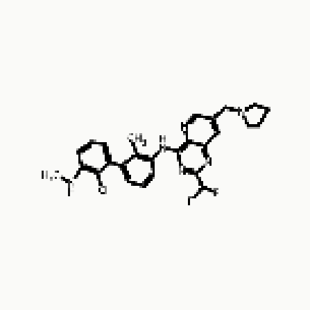 CNc1cccc(-c2cccc(Nc3nc(C(F)F)nc4cc(CN5CCCC5)cnc34)c2C)c1Cl